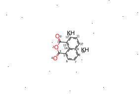 O=C1OC(=O)c2cccc3cccc1c23.[KH].[KH]